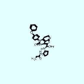 C=CC(=O)N[C@H]1CCC[C@H]1NC(O)c1sc2nccc3c2c1NC(=O)N3c1ccc(Oc2ccccc2)cc1